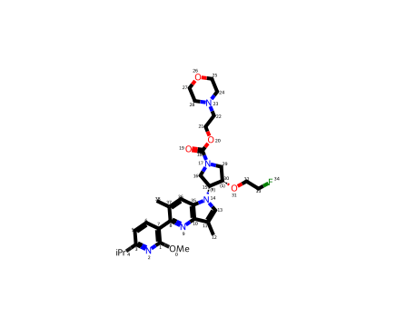 COc1nc(C(C)C)ccc1-c1nc2c(C)cn([C@@H]3CN(C(=O)OCCN4CCOCC4)C[C@@H]3OCCF)c2cc1C